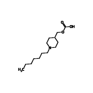 CCCCCCCN1CCC(COC(=O)O)CC1